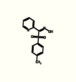 Cc1ccc(S(=O)(=O)C(=NO)c2ccccn2)cc1